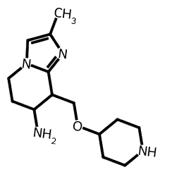 Cc1cn2c(n1)C(COC1CCNCC1)C(N)CC2